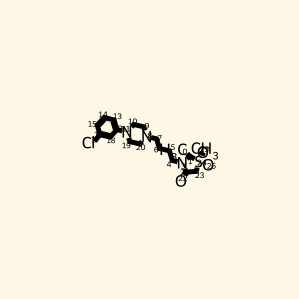 CC1(C)N(CCCCN2CCN(c3cccc(Cl)c3)CC2)C(=O)CS1(=O)=O